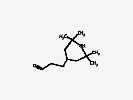 CC1(C)CC([CH]CC=O)CC(C)(C)N1